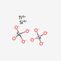 [O-][Si]([O-])([O-])[O-].[O-][Si]([O-])([O-])[O-].[Si+4].[Ti+4]